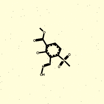 COC(=O)c1ccc(S(C)(=O)=O)c(C=NO)c1Cl